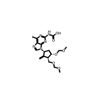 C=C1[C@H](COCOC)[C@@H](OCOC)C[C@@H]1n1cnc2c(I)nc(NC(=O)O)nc21